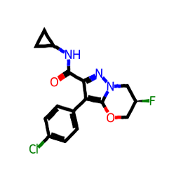 O=C(NC1CC1)c1nn2c(c1-c1ccc(Cl)cc1)OC[C@H](F)C2